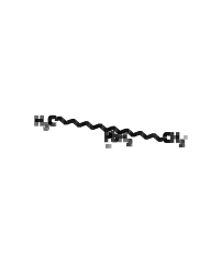 [CH2]CCCCCCCCCCCCCCCCC.[PbH2]